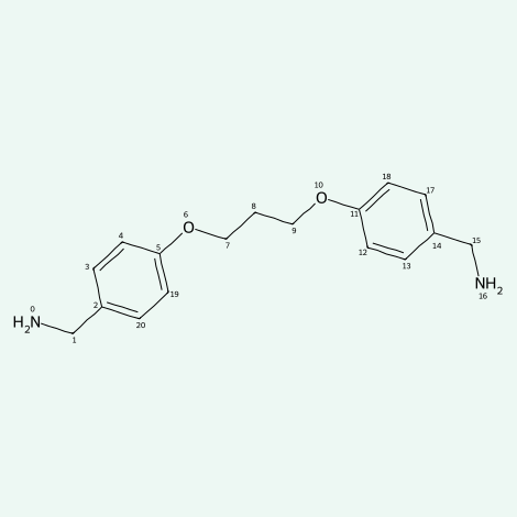 NCc1ccc(OCCCOc2ccc(CN)cc2)cc1